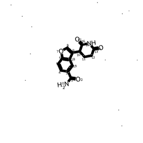 NC(=O)c1ccc2occ(C3CCC(=O)NC3=O)c2c1